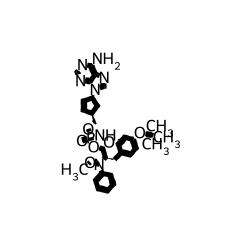 CON(c1ccccc1)[C@@H](Cc1ccc(OC(C)(C)C)cc1)C(=O)OP(N)(=O)OC[C@H]1C=C[C@@H](n2cnc3c(N)ncnc32)C1